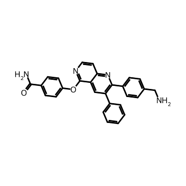 NCc1ccc(-c2nc3ccnc(Oc4ccc(C(N)=O)cc4)c3cc2-c2ccccc2)cc1